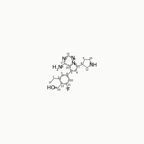 CCc1cc(-c2cc(C3CCNC3)n3ncnc(N)c23)cc(F)c1CO